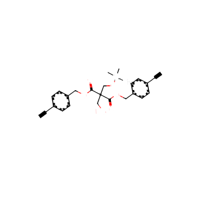 C#Cc1ccc(COC(=O)C(CO)(CO[Si](C)(C)C(C)(C)C)C(=O)OCc2ccc(C#C)cc2)cc1